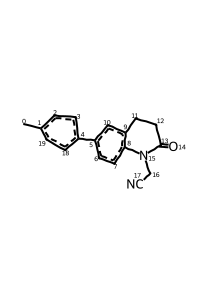 Cc1ccc(-c2ccc3c(c2)CCC(=O)N3CC#N)cc1